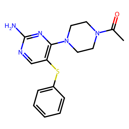 CC(=O)N1CCN(c2nc(N)ncc2Sc2ccccc2)CC1